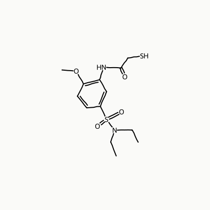 CCN(CC)S(=O)(=O)c1ccc(OC)c(NC(=O)CS)c1